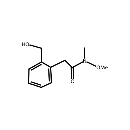 CON(C)C(=O)Cc1ccccc1CO